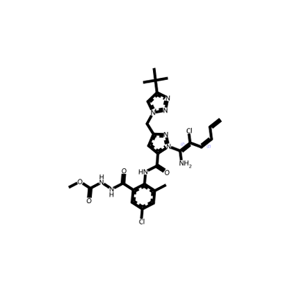 C=C/C=C\C(Cl)=C(/N)n1nc(Cn2cc(C(C)(C)C)nn2)cc1C(=O)Nc1c(C)cc(Cl)cc1C(=O)NNC(=O)OC